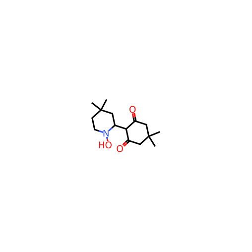 CC1(C)CC(=O)C(C2CC(C)(C)CCN2O)C(=O)C1